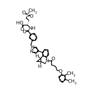 Cc1cccc(OCCCC(=O)N2C[C@@H]3C[C@@H]3c3c(-c4cnn(Cc5cccc(C(=O)N[C@@H](CCS(C)(=O)=O)C(=O)O)c5)c4)cccc32)c1C